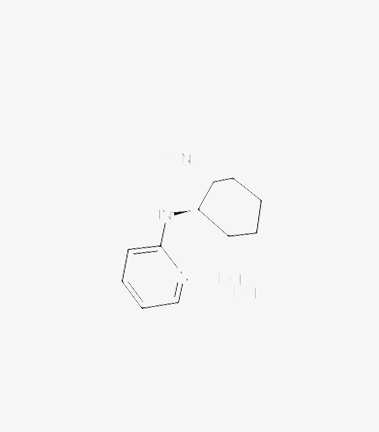 Cl.Cl.N[C@@H]1CCCC[C@H]1Nc1ccccn1